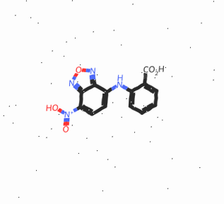 O=C(O)c1ccccc1Nc1ccc([N+](=O)O)c2nonc12